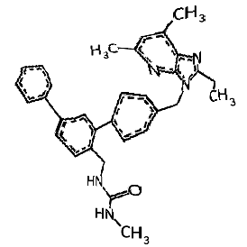 CCc1nc2c(C)cc(C)nc2n1Cc1ccc(-c2cc(-c3ccccc3)ccc2CNC(=O)NC)cc1